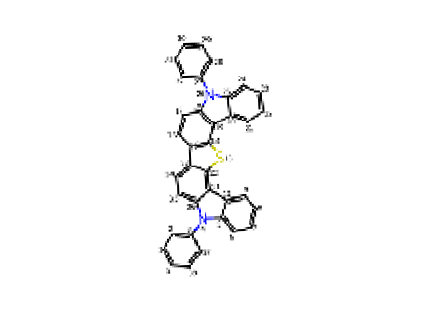 c1ccc(-n2c3ccccc3c3c4sc5c(ccc6c5c5ccccc5n6-c5ccccc5)c4ccc32)cc1